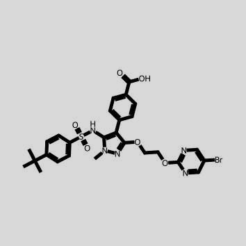 Cn1nc(OCCOc2ncc(Br)cn2)c(-c2ccc(C(=O)O)cc2)c1NS(=O)(=O)c1ccc(C(C)(C)C)cc1